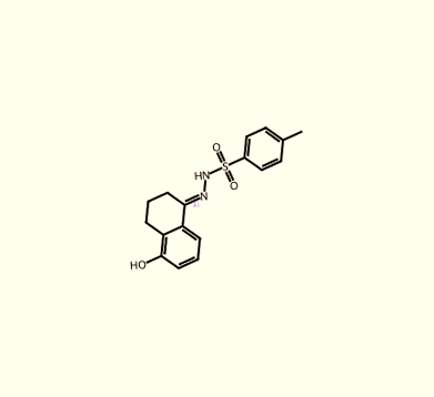 Cc1ccc(S(=O)(=O)N/N=C2\CCCc3c(O)cccc32)cc1